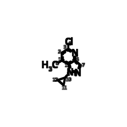 Cc1cc(Cl)nc2cnn(C3CC3)c12